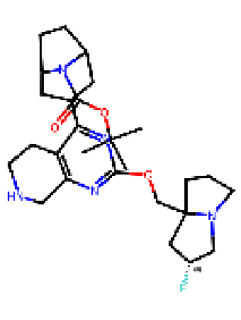 CC(C)(C)OC(=O)N1C2CCC1CC(c1nc(OCC34CCCN3C[C@H](F)C4)nc3c1CCNC3)C2